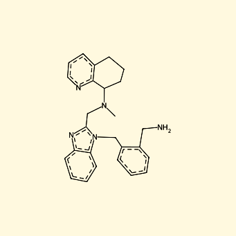 CN(Cc1nc2ccccc2n1Cc1ccccc1CN)C1CCCc2cccnc21